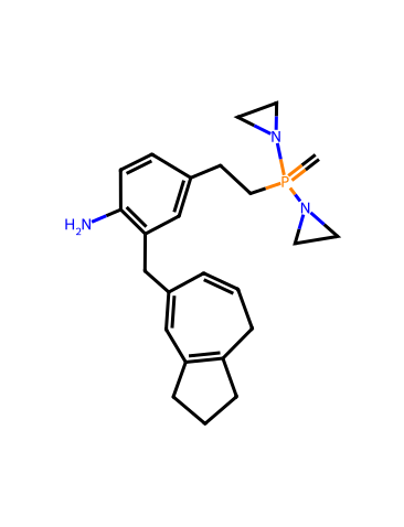 C=P(CCc1ccc(N)c(CC2=CC3=C(CC=C2)CCC3)c1)(N1CC1)N1CC1